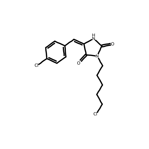 O=C1N/C(=C/c2ccc(Cl)cc2)C(=O)N1CCCCCCl